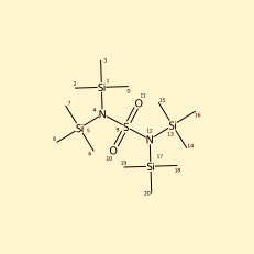 C[Si](C)(C)N([Si](C)(C)C)S(=O)(=O)N([Si](C)(C)C)[Si](C)(C)C